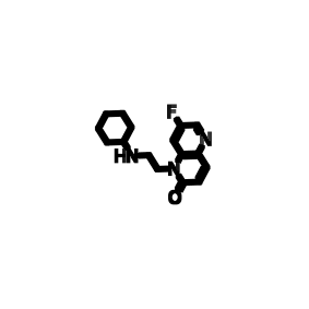 O=c1ccc2ncc(F)cc2n1CCNC1CCCCC1